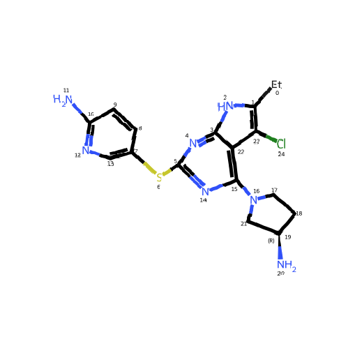 CCc1[nH]c2nc(Sc3ccc(N)nc3)nc(N3CC[C@@H](N)C3)c2c1Cl